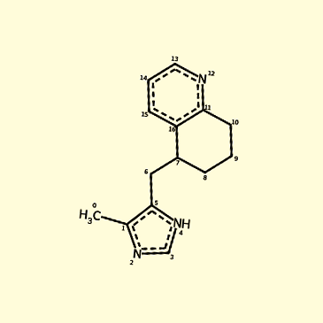 Cc1nc[nH]c1CC1CCCc2ncccc21